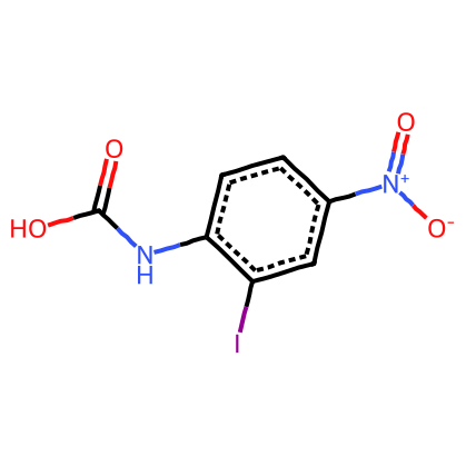 O=C(O)Nc1ccc([N+](=O)[O-])cc1I